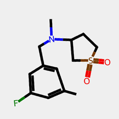 Cc1cc(F)cc(CN(C)C2CCS(=O)(=O)C2)c1